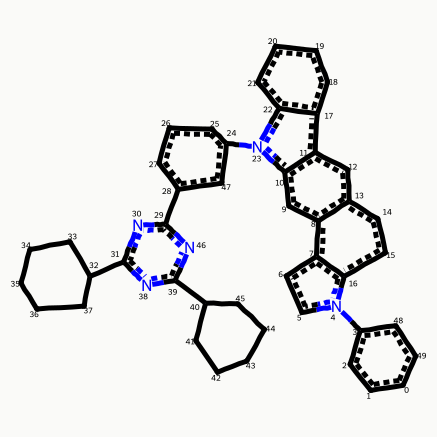 c1ccc(-n2ccc3c4cc5c(cc4ccc32)c2ccccc2n5-c2cccc(-c3nc(C4CCCCC4)nc(C4CCCCC4)n3)c2)cc1